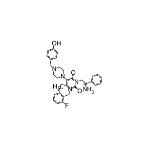 Cc1c(N2CCN(Cc3ccc(O)cc3)CC2)c(=O)n(C[C@H](N)c2ccccc2)c(=O)n1Cc1c(F)cccc1F